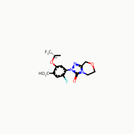 C[C@H](Oc1cc(-n2nc3n(c2=O)CCOC3)c(F)cc1C(=O)O)C(F)(F)F